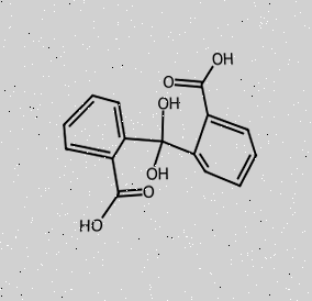 O=C(O)c1ccccc1C(O)(O)c1ccccc1C(=O)O